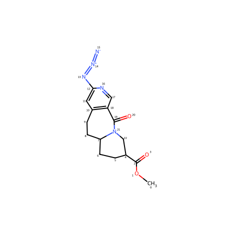 COC(=O)C1CCC2CCc3cc(N=[N+]=[N-])ncc3C(=O)N2C1